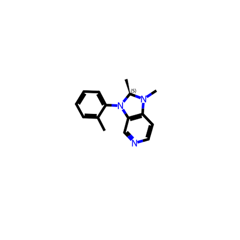 Cc1ccccc1N1c2cnccc2N(C)[C@@H]1C